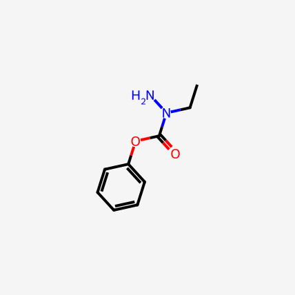 CCN(N)C(=O)Oc1ccccc1